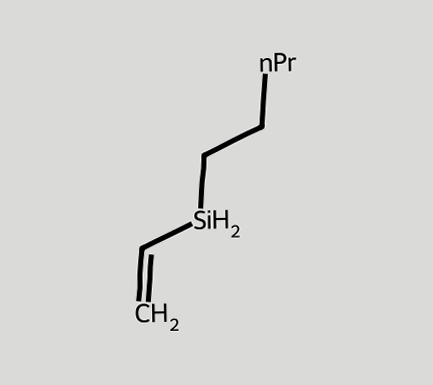 C=C[SiH2]CCCCC